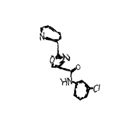 O=C(Nc1cccc(Cl)c1)c1coc(-c2ccccn2)n1